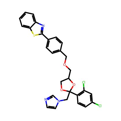 Clc1ccc(C2(Cn3ccnc3)OCC(COCc3ccc(-c4nc5ccccc5s4)cc3)O2)c(Cl)c1